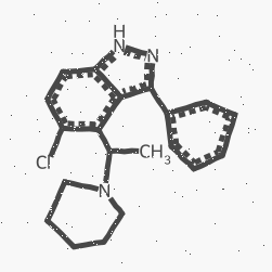 CC(c1c(Cl)ccc2[nH]nc(-c3ccccc3)c12)N1CCCCC1